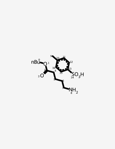 CCCCOC(=O)CCCCN.Cc1ccc(S(=O)(=O)O)cc1